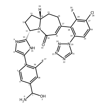 NC(O)c1ccc(-c2cnc([C@@H]3CC[C@@H]4CCC(c5c(-n6cnnn6)ccc(Cl)c5F)=CC(=O)N43)[nH]2)c(F)c1